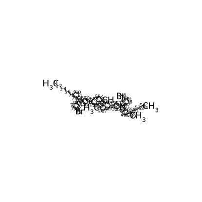 CCCCCCCCc1cccc(N(c2ccc(-c3ccc4c(-c5c(C)ccc6cc(-c7ccc(N(c8cccc(Br)c8)c8cccc(C(C)CCCCCC)c8)cc7)ccc56)c(C)ccc4c3)cc2)c2cccc(Br)c2)c1